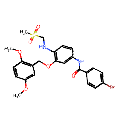 COc1ccc(OC)c(COc2cc(NC(=O)c3ccc(Br)cc3)ccc2NCS(C)(=O)=O)c1